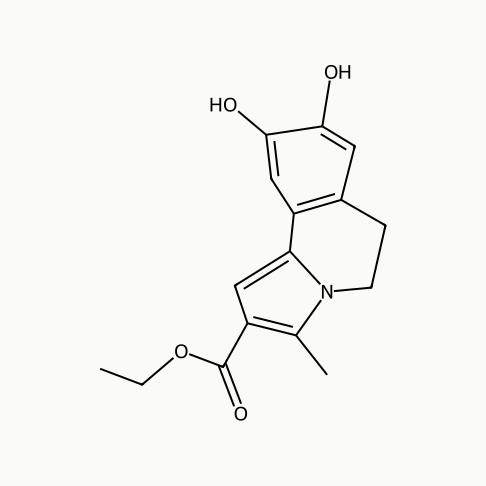 CCOC(=O)c1cc2n(c1C)CCc1cc(O)c(O)cc1-2